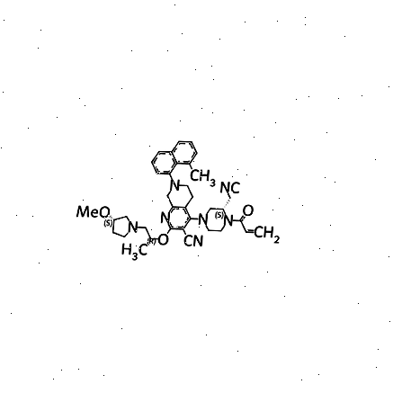 C=CC(=O)N1CCN(c2c(C#N)c(O[C@H](C)CN3CC[C@H](OC)C3)nc3c2CCN(c2cccc4cccc(C)c24)C3)C[C@@H]1CC#N